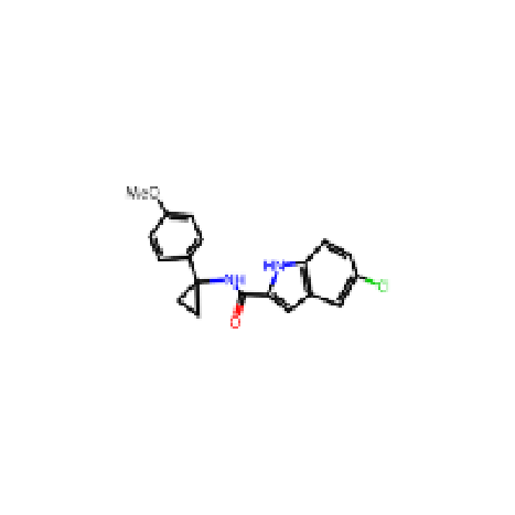 COc1ccc(C2(NC(=O)c3cc4cc(Cl)ccc4[nH]3)CC2)cc1